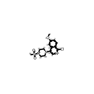 COc1ccc2c(Cl)ncc(N3CCN(S(C)(=O)=O)CC3)c2c1